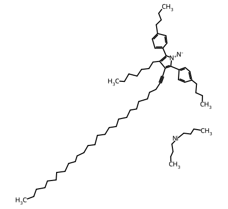 CCCCCCCCCCCCCCCCCCCCCCCCCCC#CC1=C(c2ccc(CCCC)cc2)[N+](=[N-])C(c2ccc(CCCC)cc2)=C1CCCCCCC.CCC[CH2][Ni][CH2]CCC